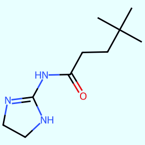 CC(C)(C)CCC(=O)NC1=NCCN1